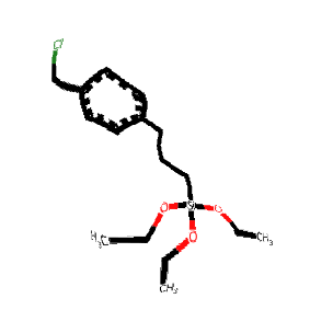 CCO[Si](CCCc1ccc(CCl)cc1)(OCC)OCC